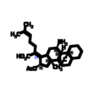 CC(=O)O[C@H]1C[C@@]2(C)C(C[C@H](N)[C@@H]3C2CCC2CCCC[C@@]23C)/C1=C(\CCC=C(C)C)C(=O)O